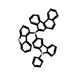 c1ccc(-n2c3ccccc3c3cc(N(c4cc5ccc6ccccc6c5c5ccccc45)c4cccc5sc6ccccc6c45)ccc32)cc1